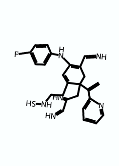 C=C(c1ccccn1)C1(CC(=N)C=N)CC(C=N)=C(Nc2ccc(F)cc2)C=C1CCNS